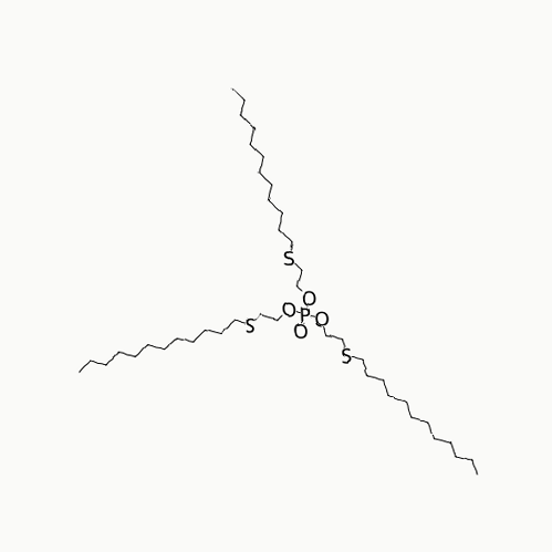 CCCCCCCCCCCCSCCOP(=O)(OCCSCCCCCCCCCCCC)OCCSCCCCCCCCCCCC